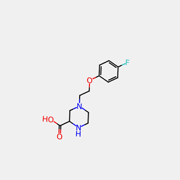 O=C(O)C1CN(CCOc2ccc(F)cc2)CCN1